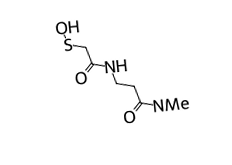 CNC(=O)CCNC(=O)CSO